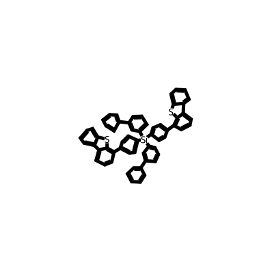 c1ccc(-c2cccc([Si](c3ccc(-c4cccc5c4sc4ccccc45)cc3)(c3ccc(-c4cccc5c4sc4ccccc45)cc3)c3cccc(-c4ccccc4)c3)c2)cc1